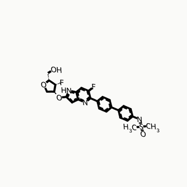 CS(C)(=O)=Nc1ccc(-c2ccc(-c3nc4cc(O[C@@H]5CO[C@H](CO)[C@@H]5F)[nH]c4cc3F)cc2)cc1